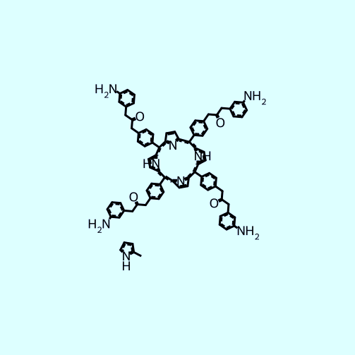 Cc1ccc[nH]1.Nc1cccc(CC(=O)Cc2ccc(-c3c4nc(c(-c5ccc(CC(=O)Cc6cccc(N)c6)cc5)c5ccc([nH]5)c(-c5ccc(CC(=O)Cc6cccc(N)c6)cc5)c5nc(c(-c6ccc(CC(=O)Cc7cccc(N)c7)cc6)c6ccc3[nH]6)C=C5)C=C4)cc2)c1